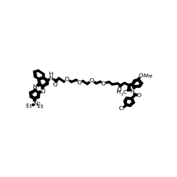 CC[N+](CC)=c1ccc2nc3c4c(c(NC(=O)CCOCCOCCOCCOCCCC(=O)Cc5c(C)n(C(=O)c6ccc(Cl)cc6)c6ccc(OC)cc56)cc3oc-2c1)CCC=C4